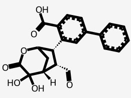 O=C[C@@H]1[C@H]2CC(OC(=O)C2(O)O)[C@@H]1c1cc(-c2ccccc2)ccc1C(=O)O